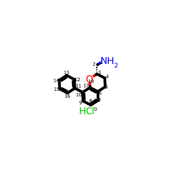 Cl.NC[C@@H]1CCc2cccc(-c3ccccc3)c2O1